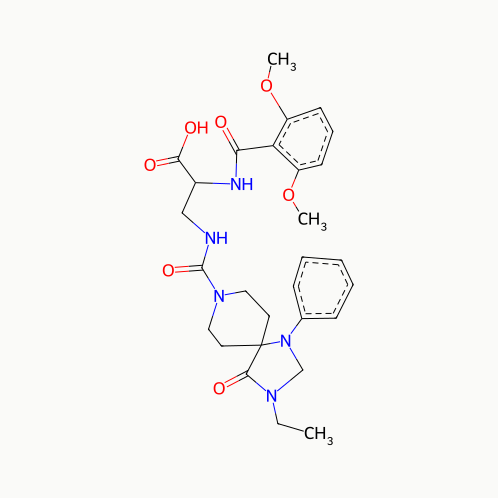 CCN1CN(c2ccccc2)C2(CCN(C(=O)NCC(NC(=O)c3c(OC)cccc3OC)C(=O)O)CC2)C1=O